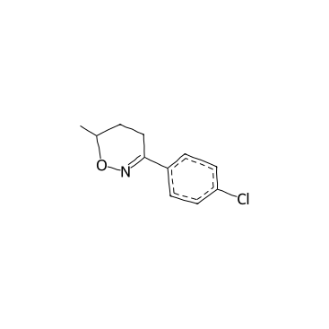 CC1CCC(c2ccc(Cl)cc2)=NO1